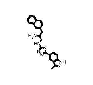 Cc1n[nH]c2ccc(-c3nnc(NCC(N)Cc4ccc5ccccc5c4)s3)cc12